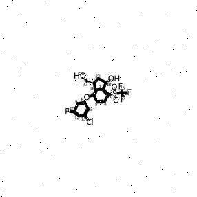 O=S(=O)(c1ccc(Oc2cc(F)cc(Cl)c2)c2c1[C@H](O)C[C@@H]2CO)C(F)(F)F